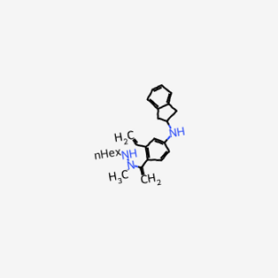 C=Cc1cc(NC2Cc3ccccc3C2)ccc1C(=C)N(C)NCCCCCC